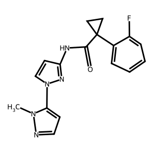 Cn1nccc1-n1ccc(NC(=O)C2(c3ccccc3F)CC2)n1